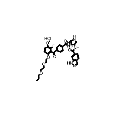 CCCOCCOCCOc1ccc(OC)c(F)c1C(=O)c1ccc(C(=O)N[C@@H]2CNC[C@H]2NC(=O)c2ccc3cn[nH]c3c2)cc1.Cl